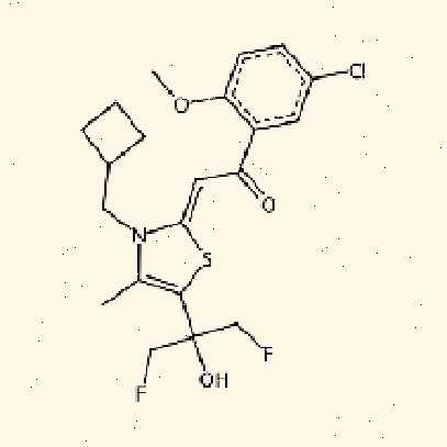 COc1ccc(Cl)cc1C(=O)/C=C1\SC(C(O)(CF)CF)=C(C)N1CC1CCC1